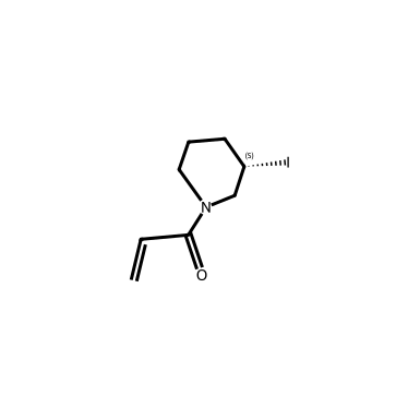 C=CC(=O)N1CCC[C@H](I)C1